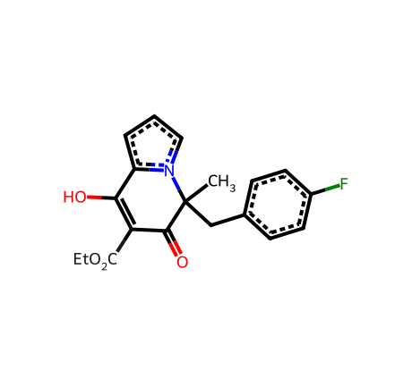 CCOC(=O)C1=C(O)c2cccn2C(C)(Cc2ccc(F)cc2)C1=O